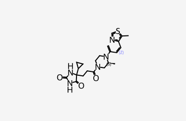 C=C(/C=C\c1ncsc1C)N1CCN(C(=O)CCC2(C3CC3)NC(=O)NC2=O)C[C@@H]1C